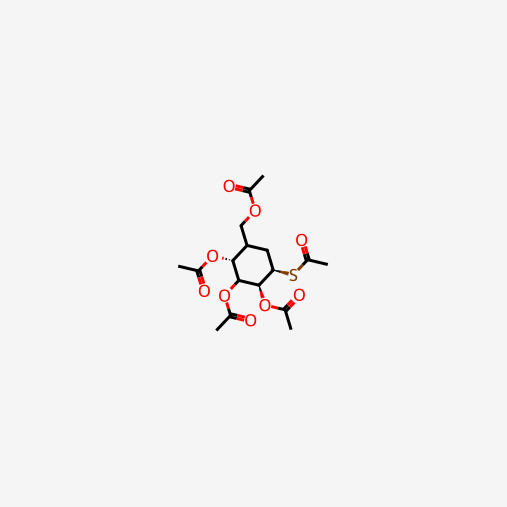 CC(=O)OCC1C[C@@H](SC(C)=O)[C@@H](OC(C)=O)C(OC(C)=O)[C@@H]1OC(C)=O